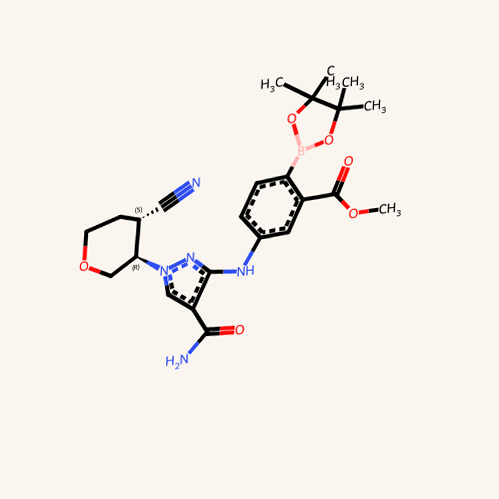 COC(=O)c1cc(Nc2nn([C@H]3COCC[C@@H]3C#N)cc2C(N)=O)ccc1B1OC(C)(C)C(C)(C)O1